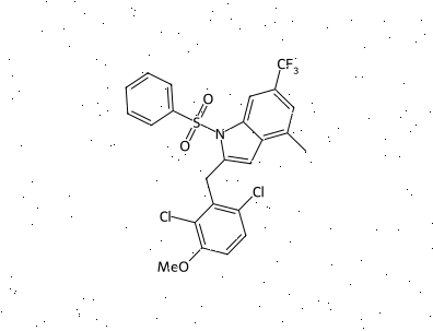 COc1ccc(Cl)c(Cc2cc3c(C)cc(C(F)(F)F)cc3n2S(=O)(=O)c2ccccc2)c1Cl